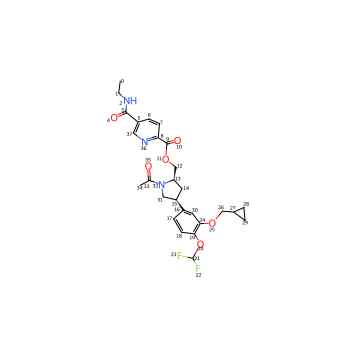 CCNC(=O)c1ccc(C(=O)OC[C@H]2C[C@@H](c3ccc(OC(F)F)c(OCC4CC4)c3)CN2C(C)=O)nc1